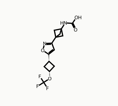 O=C(O)NC12CC(c3cc([C@H]4C[C@@H](OC(F)(F)F)C4)on3)(C1)C2